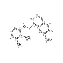 COc1cc2c(COc3cccc(C)c3[N+](=O)[O-])cccc2cn1